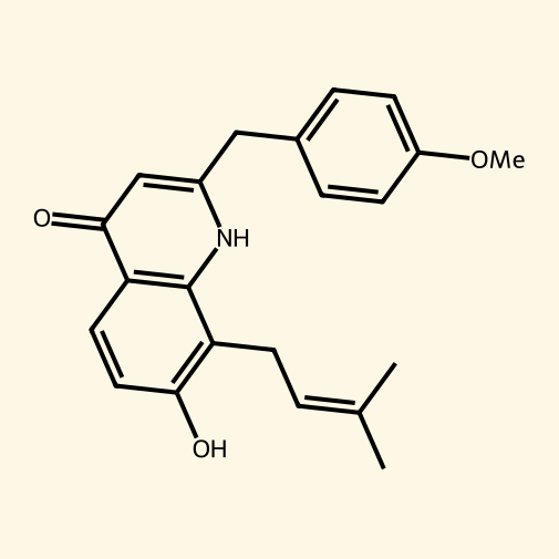 COc1ccc(Cc2cc(=O)c3ccc(O)c(CC=C(C)C)c3[nH]2)cc1